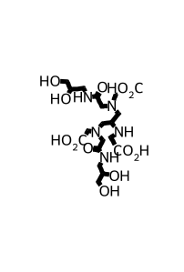 O=C(O)CNC(CN(CC(=O)O)CC(=O)NCC(O)CO)CN(CC(=O)O)CC(=O)NCC(O)CO